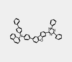 c1ccc(-c2ccc(N(c3ccc(-c4ccc5oc6cc(-c7nc(-c8ccccc8)nc(-c8ccccc8)n7)ccc6c5c4)cc3)c3cccc4ccccc34)cc2)cc1